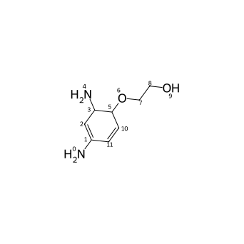 NC1=CC(N)C(OCCO)C=C1